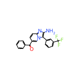 Nc1nc2ccc(C(=O)c3ccccc3)cn2c1-c1cccc(C(F)(F)F)c1